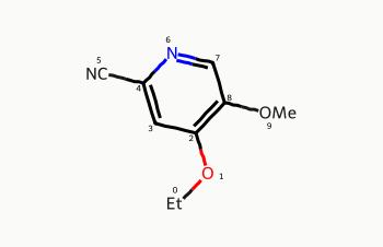 CCOc1cc(C#N)ncc1OC